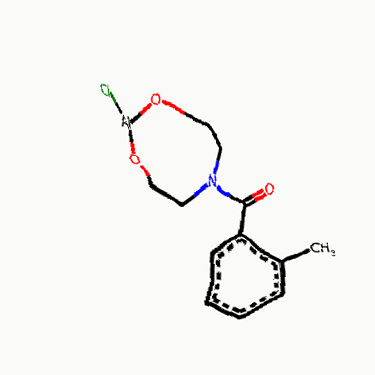 Cc1ccccc1C(=O)N1CC[O][Al]([Cl])[O]CC1